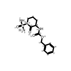 NP(N)(=O)N1CCCC(NC(=O)OCc2ccccc2)C1=O